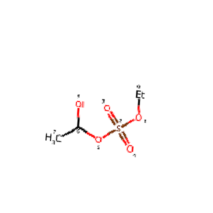 CCOS(=O)(=O)OC(C)O